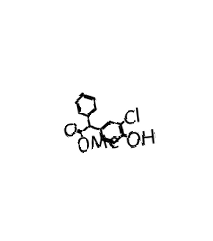 COC(=O)C(c1ccccc1)c1ccc(O)c(Cl)c1